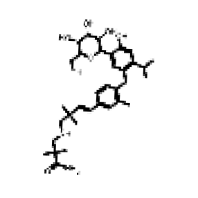 Cc1cc(/C=C/C(C)(C)CNCC(C)(C)C(N)=O)ccc1Cc1cc(C2OC(CO)[C@@H](O)[C@H](O)[C@H]2O)c(O)cc1C(C)C